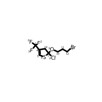 FC(F)(F)C1=CSC(Cl)(OCCCBr)C1